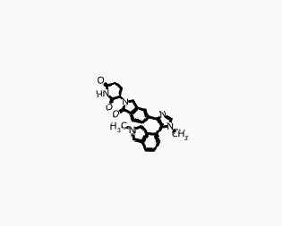 CN1Cc2cccc(-c3c(-c4ccc5c(c4)CN(C4CCC(=O)NC4=O)C5=O)ncn3C)c2C1